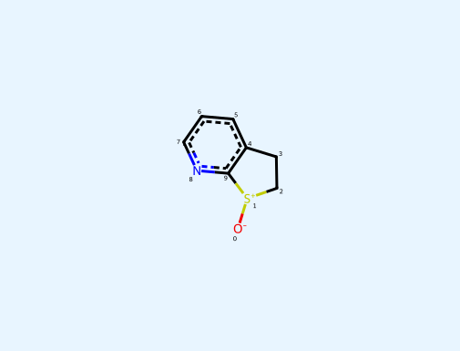 [O-][S+]1CCc2cc[c]nc21